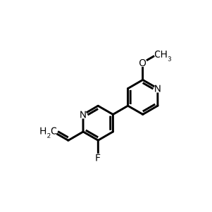 C=Cc1ncc(-c2ccnc(OC)c2)cc1F